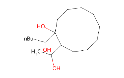 CCCCC(O)C1(O)CCCCCCCCC1C(C)O